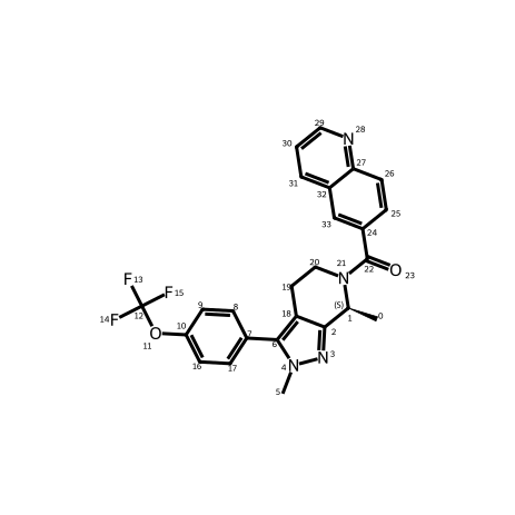 C[C@H]1c2nn(C)c(-c3ccc(OC(F)(F)F)cc3)c2CCN1C(=O)c1ccc2ncccc2c1